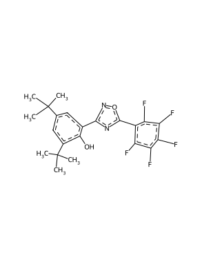 CC(C)(C)c1cc(-c2noc(-c3c(F)c(F)c(F)c(F)c3F)n2)c(O)c(C(C)(C)C)c1